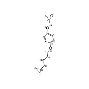 c1cc(OCC2CO2)ccc1OCCSCC1CC1